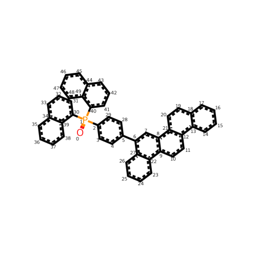 O=P(c1ccc(-c2cc3c(ccc4c5ccccc5ccc43)c3ccccc23)cc1)(c1cccc2ccccc12)c1cccc2ccccc12